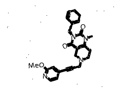 COc1cc(C#CCN2CCc3c(c(=O)n(Cc4ccccc4)c(=O)n3C)C2)ccn1